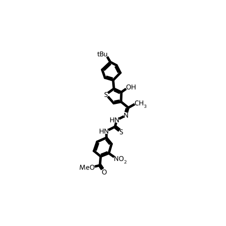 COC(=O)c1ccc(NC(=S)NN=C(C)c2csc(-c3ccc(C(C)(C)C)cc3)c2O)cc1[N+](=O)[O-]